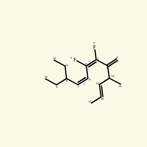 C=C(/C(F)=C(F)\C=C/C(CC)CC)C(C)C=CC